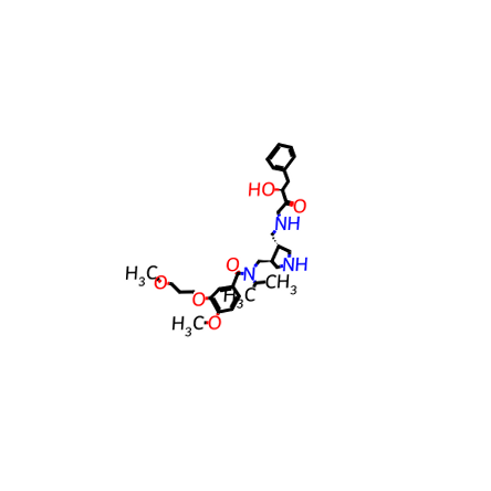 COCCCOc1cc(C(=O)N(C[C@@H]2CNC[C@H]2CNCC(=O)[C@@H](O)Cc2ccccc2)C(C)C)ccc1OC